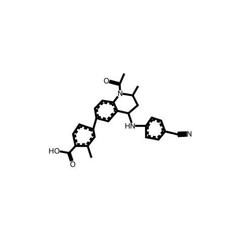 CC(=O)N1c2ccc(-c3ccc(C(=O)O)c(C)c3)cc2C(Nc2ccc(C#N)cc2)CC1C